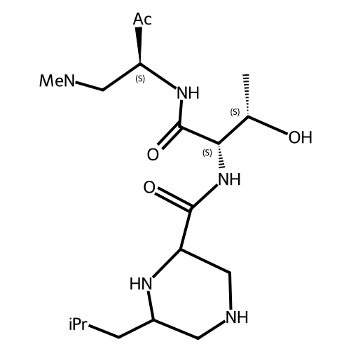 CNC[C@H](NC(=O)[C@@H](NC(=O)C1CNCC(CC(C)C)N1)[C@H](C)O)C(C)=O